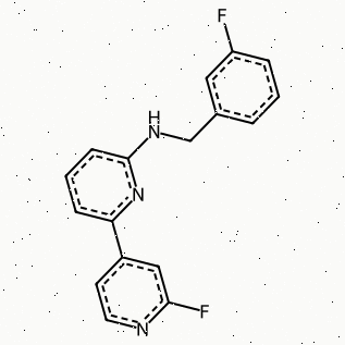 Fc1cccc(CNc2cccc(-c3ccnc(F)c3)n2)c1